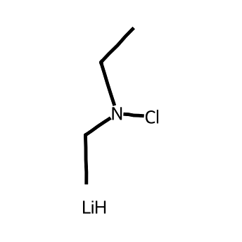 CCN(Cl)CC.[LiH]